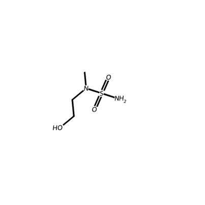 CN(CCO)S(N)(=O)=O